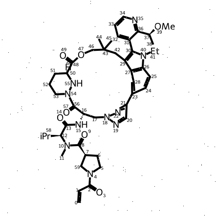 C=CC(=O)N1CC[C@H](C(=O)N(C)[C@H](C(=O)N[C@H]2Cn3ncc(n3)-c3ccc4c(c3)c(c(-c3cccnc3[C@H](C)OC)n4CC)CC(C)(C)COC(=O)[C@@H]3CCCN(N3)C2=O)C(C)C)C1